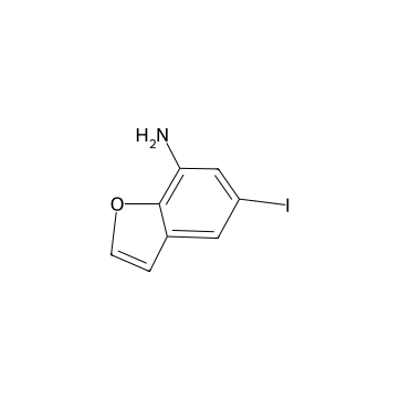 Nc1cc(I)cc2ccoc12